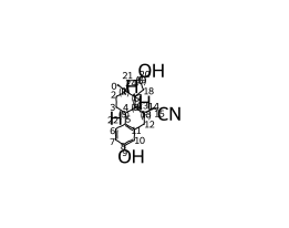 C[C@]12CC[C@@H]3c4ccc(O)cc4C[C@H](CC#N)[C@H]3[C@@H]1C[C@H](O)C2